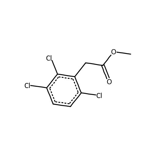 COC(=O)Cc1c(Cl)ccc(Cl)c1Cl